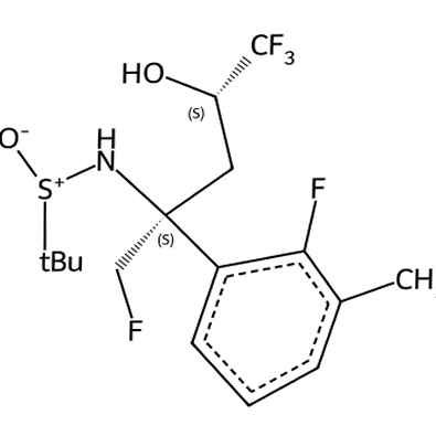 Cc1cccc([C@](CF)(C[C@H](O)C(F)(F)F)N[S+]([O-])C(C)(C)C)c1F